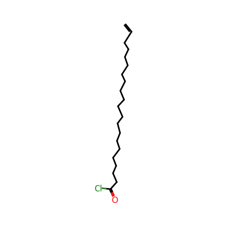 C=CCCCCCCCCCCCCCCCCCCC(=O)Cl